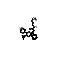 COCCNC(=O)Cn1cc(CN(C(=O)C2CNCCO2)C2CC2)c2ccccc21